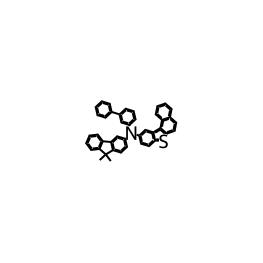 CC1(C)c2ccccc2-c2cc(N(c3cccc(-c4ccccc4)c3)c3ccc4sc5ccc6ccccc6c5c4c3)ccc21